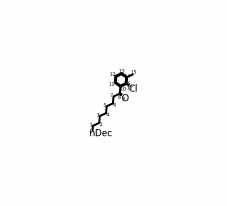 CCCCCCCCCCCCCCCCCC(=O)c1cccc(C)c1Cl